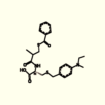 CCN(C)c1ccc(CSC[C@@H](NC(=O)C(C)CSC(=O)c2ccccc2)C(=O)O)cc1